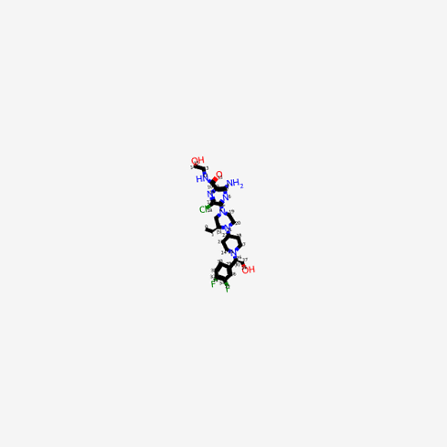 CC[C@H]1CN(c2nc(N)c(C(=O)NCCO)nc2Cl)CCN1C1CCN([C@@H](CO)c2ccc(F)c(F)c2)CC1